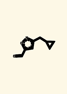 O=Cc1cc(CC2CC2)no1